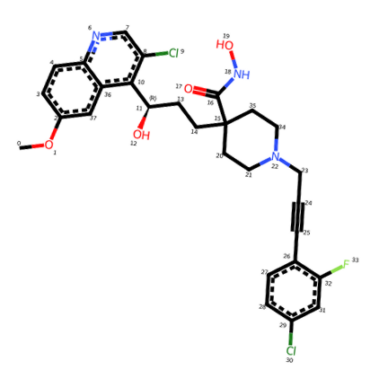 COc1ccc2ncc(Cl)c([C@H](O)CCC3(C(=O)NO)CCN(CC#Cc4ccc(Cl)cc4F)CC3)c2c1